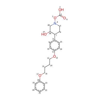 O=C(O)ON1CCC(c2ccc(OCCCCOc3ccccc3)cc2)C(O)C1